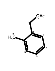 [CH2]C(=O)OCc1ccccc1C